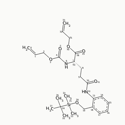 C=CCOC(=O)N[C@@H](CCC(=O)Nc1ccccc1CO[Si](C)(C)C(C)(C)C)C(=O)OCC=C